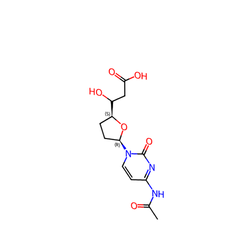 CC(=O)Nc1ccn([C@H]2CC[C@@H](C(O)CC(=O)O)O2)c(=O)n1